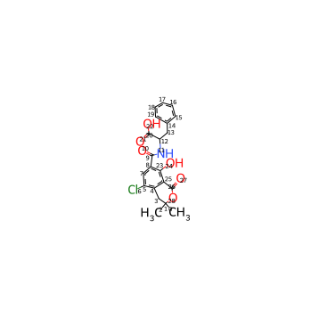 CC1(C)Cc2c(Cl)cc(C(=O)NC(Cc3ccccc3)C(=O)O)c(O)c2C(=O)O1